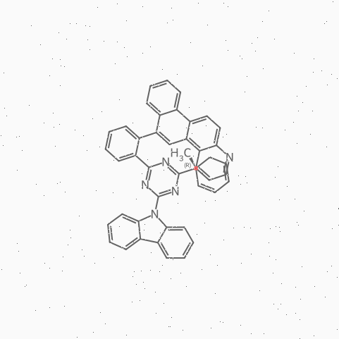 C[C@]1(c2nc(-c3ccccc3-c3cc4c5cccnc5ccc4c4ccccc34)nc(-n3c4ccccc4c4ccccc43)n2)C=CC=CC1